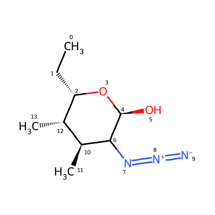 CC[C@@H]1O[C@@H](O)C(N=[N+]=[N-])[C@@H](C)[C@@H]1C